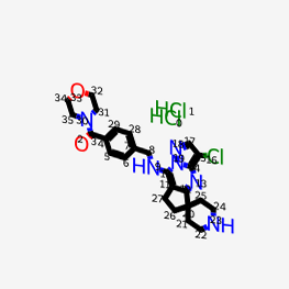 Cl.Cl.O=C(c1ccc(CNc2c3c(nc4c(Cl)cnn24)C2(CCNCC2)CC3)cc1)N1CCOCC1